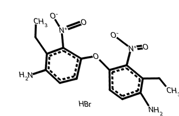 Br.CCc1c(N)ccc(Oc2ccc(N)c(CC)c2[N+](=O)[O-])c1[N+](=O)[O-]